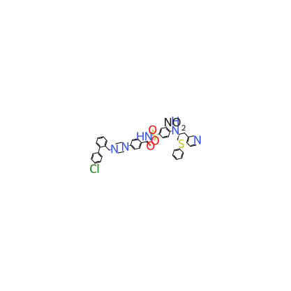 O=C(NS(=O)(=O)c1ccc(N[C@H](CSc2ccccc2)Cc2cccnc2)c([N+](=O)[O-])c1)c1ccc(N2CCN(Cc3ccccc3-c3ccc(Cl)cc3)CC2)cc1